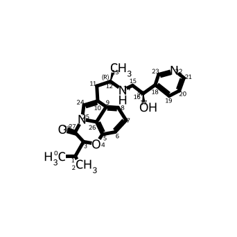 CC(C)C1Oc2cccc3c(C[C@@H](C)NC[C@H](O)c4cccnc4)cn(c23)C1=O